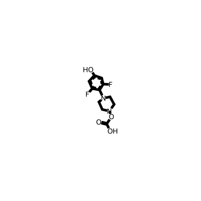 O=C(O)ON1CCN(c2c(F)cc(O)cc2F)CC1